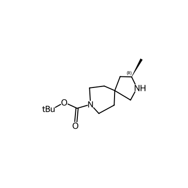 C[C@@H]1CC2(CCN(C(=O)OC(C)(C)C)CC2)CN1